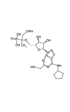 COCC(C)(OC[C@H]1O[C@H](n2ncc3c(NC4CCCC4)nc(CO)nc32)[C@H](O)[C@@H]1O)P(=O)(O)O